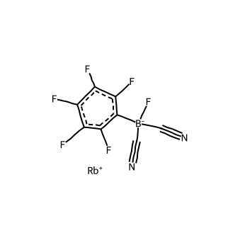 N#C[B-](F)(C#N)c1c(F)c(F)c(F)c(F)c1F.[Rb+]